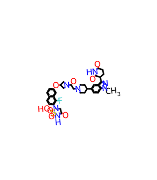 Cn1nc(C2CCC(=O)NC2=O)c2cc(C3CCN(CC(=O)N4CC(Oc5ccc6cc(O)c(N7CC(=O)NS7(=O)=O)c(F)c6c5)C4)CC3)ccc21